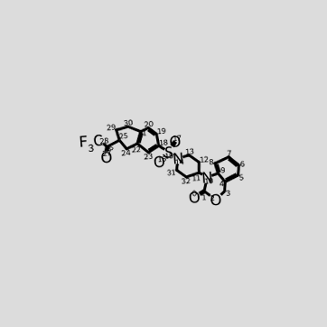 O=C1OCc2ccccc2N1C1CCN(S(=O)(=O)c2ccc3c(c2)CC(C(=O)C(F)(F)F)CC3)CC1